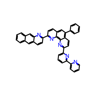 c1ccc(-c2cc3ccc(-c4ccc5cc6ccccc6cc5n4)nc3c3nc(-c4cccc(-c5ccccn5)n4)ccc23)cc1